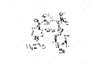 C=C(C(=O)N1CCN(C(C)=O)CC1)c1ccc(Sc2ccc(O)cc2)c([N+](=O)[O-])c1